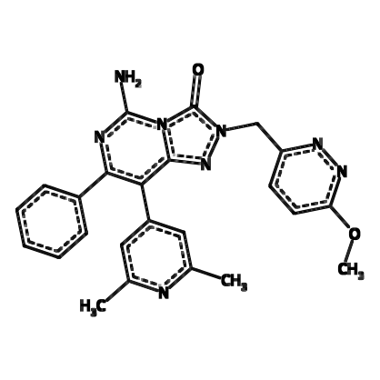 COc1ccc(Cn2nc3c(-c4cc(C)nc(C)c4)c(-c4ccccc4)nc(N)n3c2=O)nn1